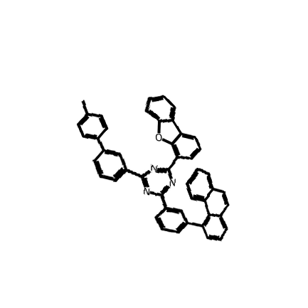 Cc1ccc(-c2cccc(-c3nc(-c4cccc(-c5cccc6ccc7ccccc7c56)c4)nc(-c4cccc5c4oc4ccccc45)n3)c2)cc1